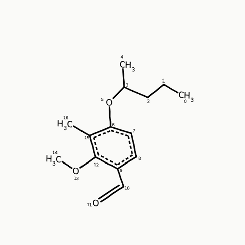 CCCC(C)Oc1ccc(C=O)c(OC)c1C